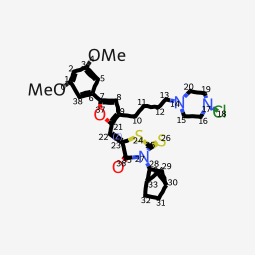 COc1cc(OC)cc(-c2cc(CCCCN3CCN(Cl)CC3)c(/C=C3\SC(=S)N(C4CC5CCC4C5)C3=O)o2)c1